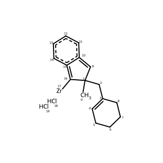 CC1(CC2=CCCCC2)C=c2ccccc2=[C]1[Zr].Cl.Cl